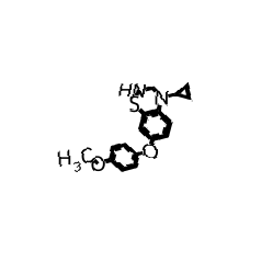 COc1ccc(Oc2ccc3c(c2)SNCN3C2CC2)cc1